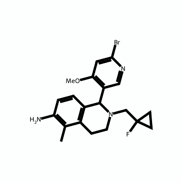 COc1cc(Br)ncc1C1c2ccc(N)c(C)c2CCN1CC1(F)CC1